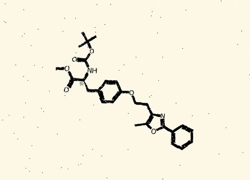 COC(=O)[C@H](Cc1ccc(OCCc2nc(-c3ccccc3)oc2C)cc1)NC(=O)OC(C)(C)C